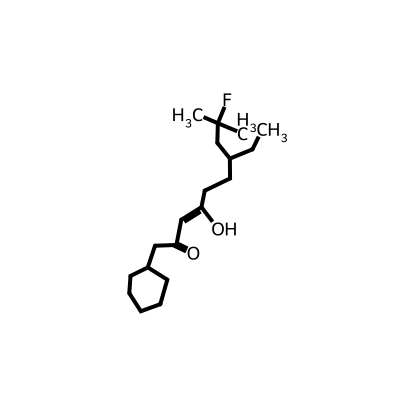 CCC(CC/C(O)=C/C(=O)CC1CCCCC1)CC(C)(C)F